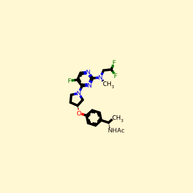 CC(=O)N[C@@H](C)c1ccc(O[C@@H]2CCN(c3nc(N(C)CC(F)F)ncc3F)C2)cc1